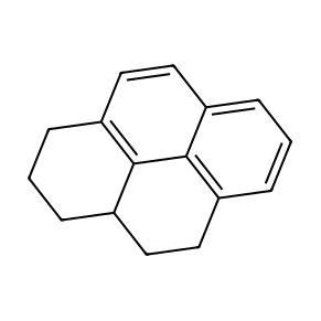 c1cc2c3c4c(ccc3c1)CCCC4CC2